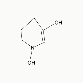 OC1=CN(O)CCC1